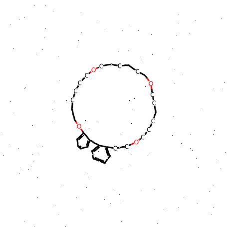 c1ccc2c(c1)CCOCCCCCCOCCCCCCOCCCCCCOc1ccccc1-2